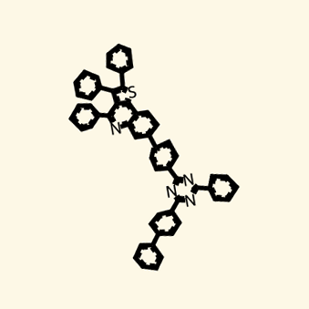 c1ccc(-c2ccc(-c3nc(-c4ccccc4)nc(-c4ccc(-c5ccc6c(c5)nc(-c5ccccc5)c5c(-c7ccccc7)c(-c7ccccc7)sc56)cc4)n3)cc2)cc1